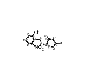 Cc1ccc(OCc2c(Cl)cccc2[N+](=O)[O-])c(C)c1